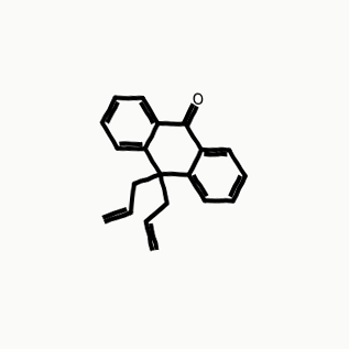 C=CCC1(CC=C)c2ccccc2C(=O)c2ccccc21